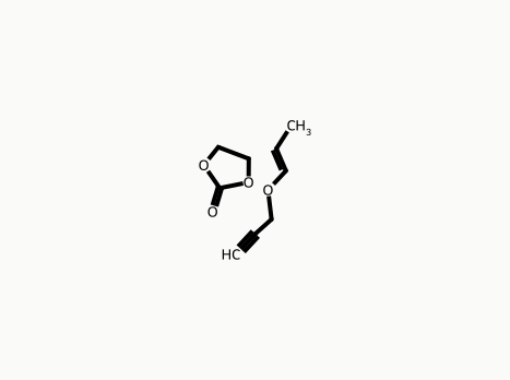 C#CCOC=CC.O=C1OCCO1